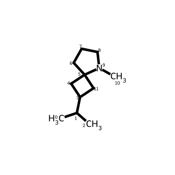 CC(C)C1CC2(CCCN2C)C1